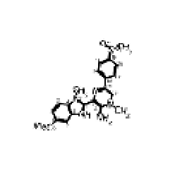 COc1ccc2c(c1)NC(C1=C(N)N(C)CC(c3ccc([S+](C)[O-])cc3)=N1)N2C